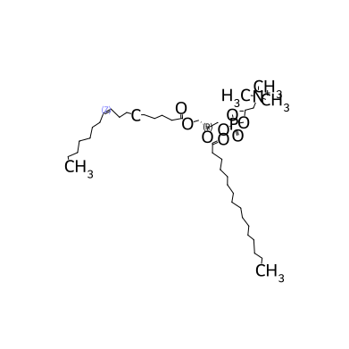 CCCCCCC/C=C\CCCCCCCC(=O)OC[C@H](COP(=O)([O-])OCC[N+](C)(C)C)OC(=O)CCCCCCCCCCCCCCC